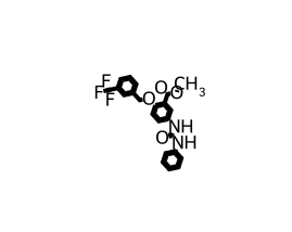 COC(=O)c1cc(NC(=O)Nc2ccccc2)ccc1OCc1cccc(C(F)(F)F)c1